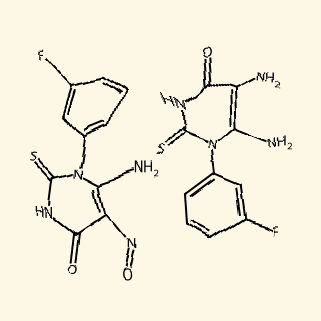 Nc1c(N)n(-c2cccc(F)c2)c(=S)[nH]c1=O.Nc1c(N=O)c(=O)[nH]c(=S)n1-c1cccc(F)c1